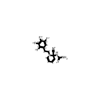 N#CC1(NC(N)=S)C=CC=CN1CCc1cc(F)c(F)c(F)c1F